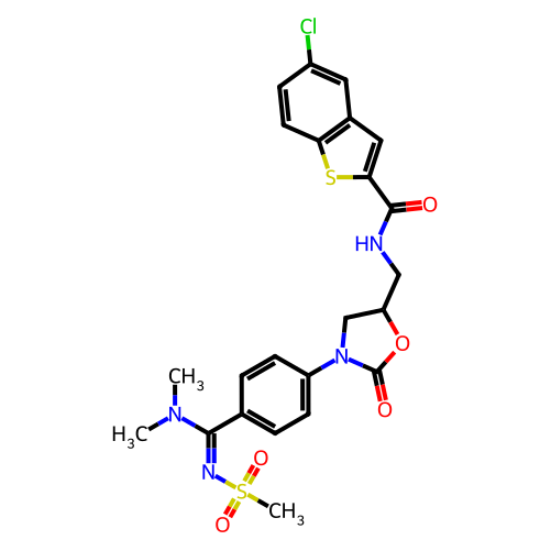 CN(C)/C(=N/S(C)(=O)=O)c1ccc(N2CC(CNC(=O)c3cc4cc(Cl)ccc4s3)OC2=O)cc1